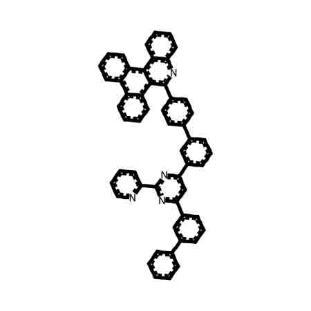 c1ccc(-c2cccc(-c3cc(-c4cccc(-c5ccc(-c6nc7ccccc7c7c8ccccc8c8ccccc8c67)cc5)c4)nc(-c4ccccn4)n3)c2)cc1